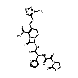 Cn1nnnc1SCC1=C(C(=O)O)N2C(=O)[C@H](NC(=O)C(NC(=O)C(=O)N3CCOC3=O)c3cccs3)C2SC1